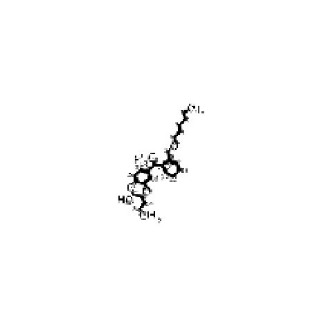 CCCCCCOCC1C2CCC(O2)C1C(C)c1cccc(OC(CCC)C(=O)O)c1